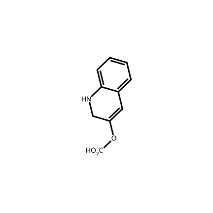 O=C(O)OC1=Cc2ccccc2NC1